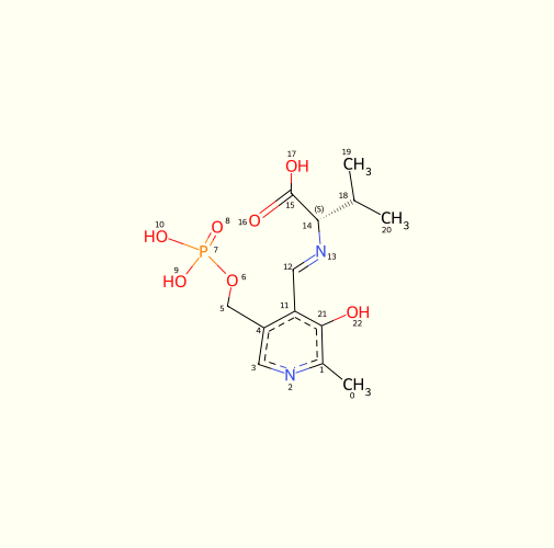 Cc1ncc(COP(=O)(O)O)c(C=N[C@H](C(=O)O)C(C)C)c1O